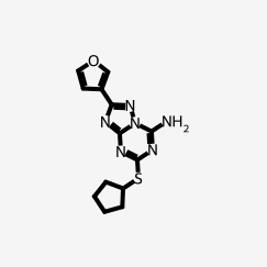 Nc1nc(SC2CCCC2)nc2nc(-c3ccoc3)nn12